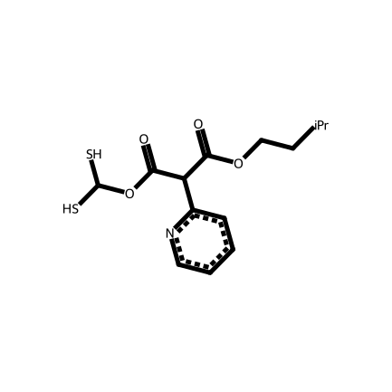 CC(C)CCOC(=O)C(C(=O)OC(S)S)c1ccccn1